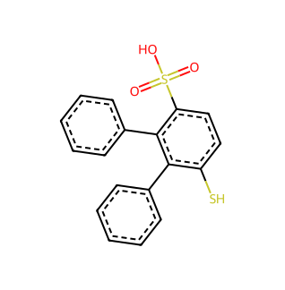 O=S(=O)(O)c1ccc(S)c(-c2ccccc2)c1-c1ccccc1